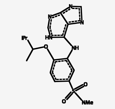 CNS(=O)(=O)c1ccc(OC(C)C(C)C)c(Nc2[nH]cnc3ncnc2-3)c1